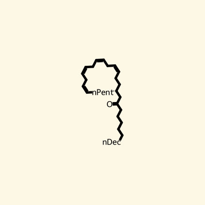 CCCCC/C=C\C/C=C\C/C=C\C/C=C\CC[CH]CC(=O)CCCCCCCCCCCCCCC